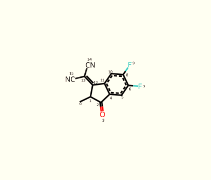 CC1C(=O)c2cc(F)c(F)cc2C1=C(C#N)C#N